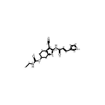 CCNC(=O)OC1CCc2c(sc(NC(=O)C=Cc3ccsc3)c2C#N)C1